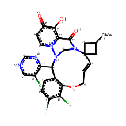 COC1CC2(/C=C/COc3c(ccc(F)c3F)C(c3ncncc3Cl)N3CN2C(=O)c2c(O)c(=O)ccn23)C1